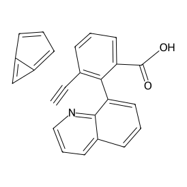 C#Cc1cccc(C(=O)O)c1-c1cccc2cccnc12.c1cc2cc-2c1